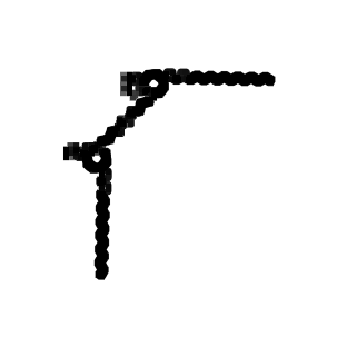 CCCCCCCCCCCCCOCOC1CCC(O)[SiH2]N(CCCSSSSCCCN2CCC(OCOCCCCCCCCCCCCC)CCC(O)[SiH2]2)CC1